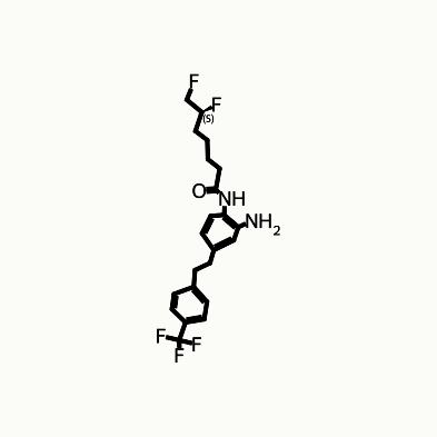 Nc1cc(CCc2ccc(C(F)(F)F)cc2)ccc1NC(=O)CCCC[C@H](F)CF